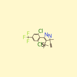 C#CC1(C)N=NC(c2c(Cl)cc(C(F)(F)F)cc2Cl)=C1[Si](C)(C)C